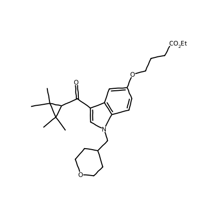 CCOC(=O)CCCOc1ccc2c(c1)c(C(=O)C1C(C)(C)C1(C)C)cn2CC1CCOCC1